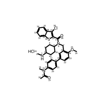 CNC1CCC(N(Cc2cc(-c3ccc(N(C)C(C)=O)cc3)ccc2OC)C(=O)c2sc3ccccc3c2Cl)CC1.Cl